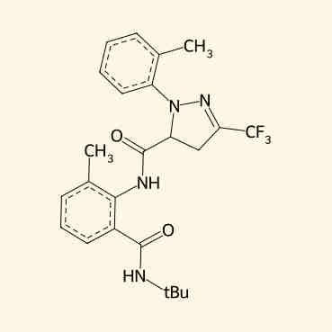 Cc1ccccc1N1N=C(C(F)(F)F)CC1C(=O)Nc1c(C)cccc1C(=O)NC(C)(C)C